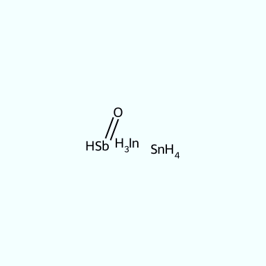 [InH3].[O]=[SbH].[SnH4]